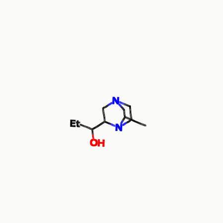 CCC(O)C1CN2CCN1C(C)C2